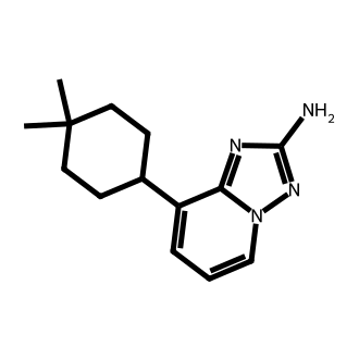 CC1(C)CCC(c2cccn3nc(N)nc23)CC1